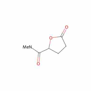 CNC(=O)C1CCC(=O)O1